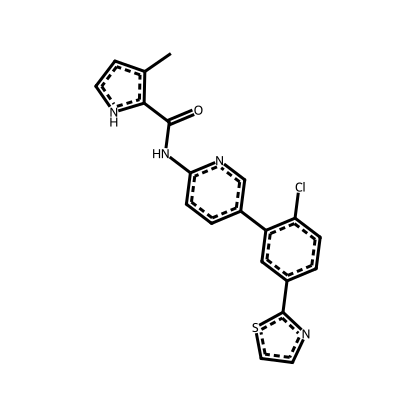 Cc1cc[nH]c1C(=O)Nc1ccc(-c2cc(-c3nccs3)ccc2Cl)cn1